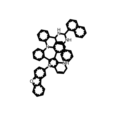 C1=Cc2c(c3c(n2-c2ccc4oc5ccccc5c4c2)-c2ccccc2N(c2ccccc2C2C=C(c4ccccc4)NC(c4cccc5ccccc45)N2)c2ccccc2-3)NC1